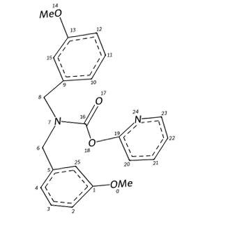 COc1cccc(CN(Cc2cccc(OC)c2)C(=O)Oc2ccccn2)c1